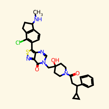 CNC1CCc2c1ccc(-c1snc3c(=O)n(CC4(O)CCN(C(=O)CC(c5ccccc5)C5CC5)CC4)cnc13)c2Cl